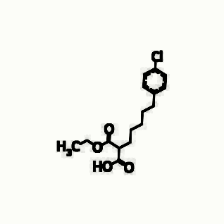 CCOC(=O)C(CCCCCc1ccc(Cl)cc1)C(=O)O